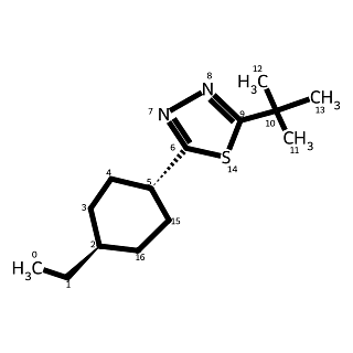 CC[C@H]1CC[C@H](c2nnc(C(C)(C)C)s2)CC1